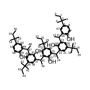 CCC(C)(C)c1ccc(O)c(C(C)c2cc(C(C)(C)CC)cc(C(C)c3cc(C(C)(C)CC)cc(C(C)c4cc(C(C)(C)CC)cc(C(C)c5cc(C(C)(C)CC)ccc5O)c4O)c3O)c2O)c1